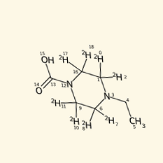 [2H]C1([2H])N(CC)C([2H])([2H])C([2H])([2H])N(C(=O)O)C1([2H])[2H]